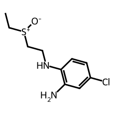 CC[S+]([O-])CCNc1ccc(Cl)cc1N